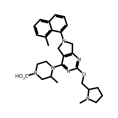 Cc1cccc2cccc(N3Cc4nc(OCC5CCCN5C)nc(N5CCN(C(=O)O)CC5C)c4C3)c12